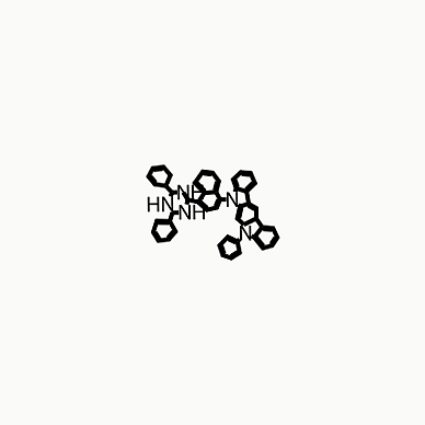 C1=CCC(C2NC(c3ccccc3)NC(c3ccc(-n4c5c(c6ccccc64)=CC4c6ccccc6N(c6ccccc6)C4C=5)c4ccccc34)N2)C=C1